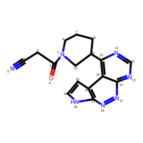 N#CCC(=O)N1CCCC(c2ncnc3nnc4[nH]ccc4c23)C1